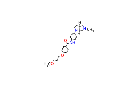 COCCCOc1ccc(C(=O)Nc2ccc(N3CC[C@@H]4CN(C)C[C@@H]43)cc2)cc1